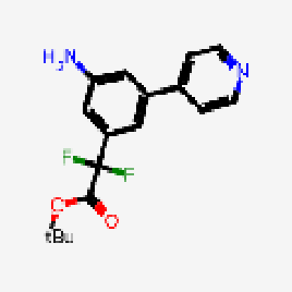 CC(C)(C)OC(=O)C(F)(F)c1cc(N)cc(-c2ccncc2)c1